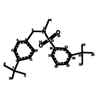 CN(Cc1ccc(C(C)(C)C)cc1)S(=O)(=O)c1cccc(C(C)(C)C)c1